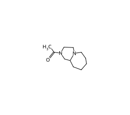 CC(=O)N1CCN2CCCCCC2C1